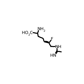 CC(=N)NCC(F)=CCCC(N)C(=O)O